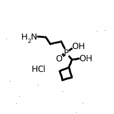 Cl.NCCCP(=O)(O)C(O)C1CCC1